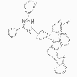 Fc1ccc(-c2cc(-c3nc(-c4ccccc4)nc(-c4ccccc4)n3)ccc2-n2c3ccccc3c3c4sc5ccccc5c4ccc32)cc1